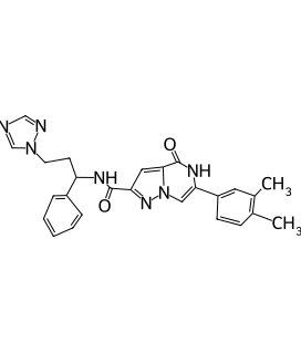 Cc1ccc(-c2cn3nc(C(=O)NC(CCn4cncn4)c4ccccc4)cc3c(=O)[nH]2)cc1C